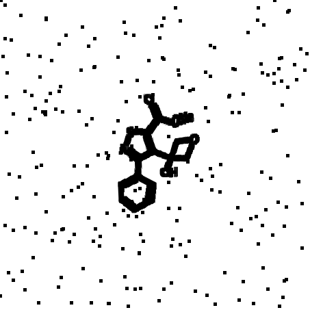 COC(=O)c1snc(-c2ccccc2)c1C1(O)COC1